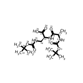 C[C@H](NC(=O)OC(C)(C)C)C(=O)N[C@@H](CNC(=O)OC(C)(C)C)C(=O)O